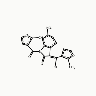 Cc1occc1C(=O)N1C(=O)/C(=C(\O)c2ccoc2C)c2ccc([N+](=O)[O-])cc21